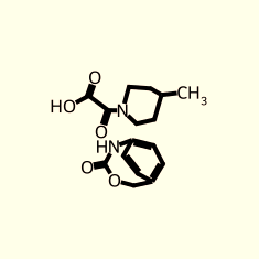 CC1CCN(C(=O)C(=O)O)CC1.O=C1Nc2ccc(cc2)CO1